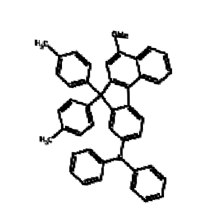 COc1cc2c(c3ccccc13)-c1ccc(N(c3ccccc3)c3ccccc3)cc1C2(c1ccc(C)cc1)c1ccc(C)cc1